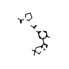 CC(=O)N1CCC[C@@H]1CC(=O)Nc1cc(-c2cnn3c2CC(C)(C)C3)c(Cl)cn1